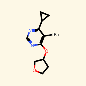 CC(C)(C)c1c(OC2CCOC2)ncnc1C1CC1